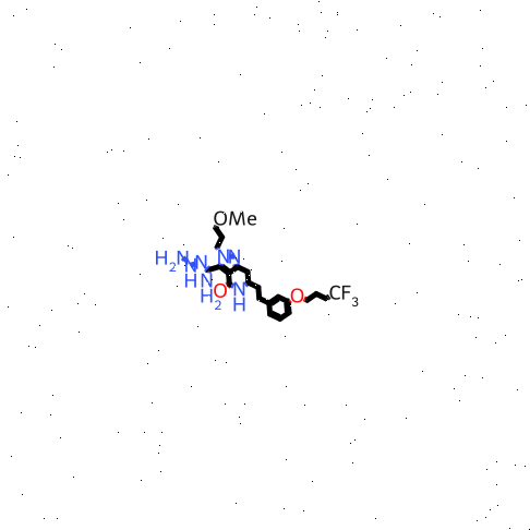 COCCCn1nc2c(c1/C(N)=N/NN)C(=O)NC(CCc1cccc(OCCCC(F)(F)F)c1)C2